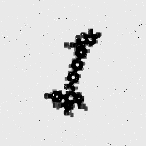 Cc1sc2c(c1C)C(c1ccc(Cl)cc1)=N[C@@H](CC(=O)N1CCN(C3CCN(c4ccc5c(c4)n(C)c(=O)n5C4CCC(=O)NC4=O)CC3)CC1)c1nnc(C)n1-2